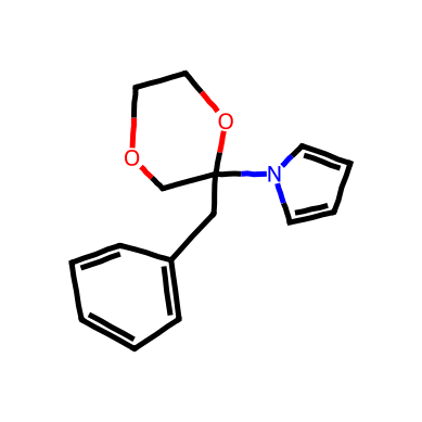 c1ccc(CC2(n3cccc3)COCCO2)cc1